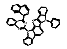 c1ccc(-n2c3ccccc3c3sc4c(ccc5c6ccccc6n(-c6nc(-c7cccc8ccccc78)c7ccccc7n6)c54)c32)cc1